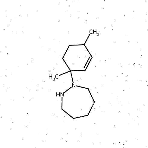 CC1C=CC(C)(N2CCCCCN2)CC1